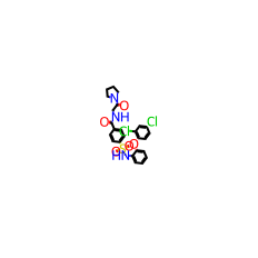 O=C(NCC(=O)N1CCCC1)c1ccc(S(=O)(=O)Nc2ccccc2Oc2ccc(Cl)cc2Cl)cc1